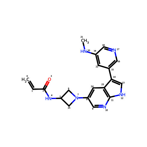 C=CC(=O)NC1CN(c2cnc3[nH]cc(-c4cncc(NC)c4)c3c2)C1